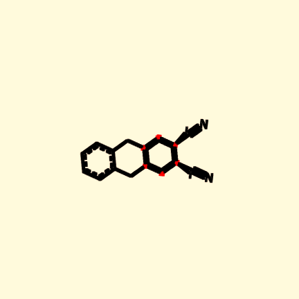 N#Cc1cc2c(cc1I)C1c3ccccc3C2c2cc(I)c(C#N)cc21